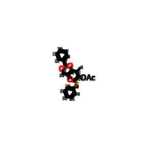 CC(=O)OC1[C@H](C)C2OC(c3ccccc3)OCC2O[C@H]1Sc1ccccc1